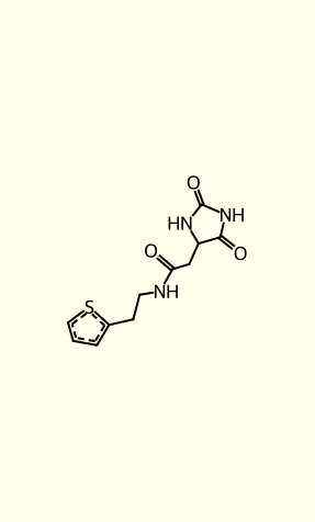 O=C(CC1NC(=O)NC1=O)NCCc1cccs1